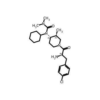 C[C@H]1CN(C(=O)[C@H](N)Cc2ccc(Cl)cc2)CC[C@@H]1N(C(=O)N(C)C)C1CCCCC1